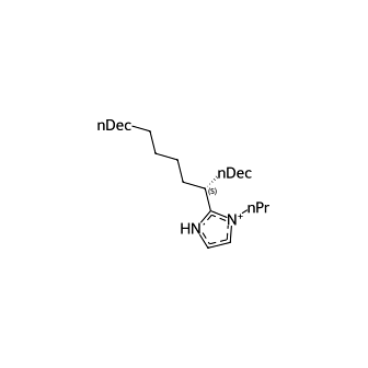 CCCCCCCCCCCCCC[C@H](CCCCCCCCCC)c1[nH]cc[n+]1CCC